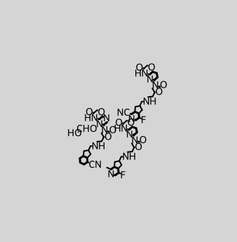 Cc1ncc(F)c2c1CC(CNCCC1CN(c3ccc4c(n3)NC(=O)CO4)C(=O)O1)C2.N#Cc1cccc2c1CC(CNCCC1CN(c3cnc4c(n3)NC(=O)CO4)C(=O)O1)C2.N#Cc1ncc(F)c2c1CC(CNCCC1CN(c3ccc4c(n3)NC(=O)CO4)C(=O)O1)C2.O=CO